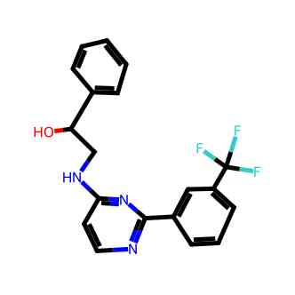 OC(CNc1ccnc(-c2cccc(C(F)(F)F)c2)n1)c1ccccc1